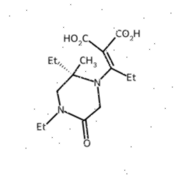 CCC(=C(C(=O)O)C(=O)O)N1CC(=O)N(CC)C[C@]1(C)CC